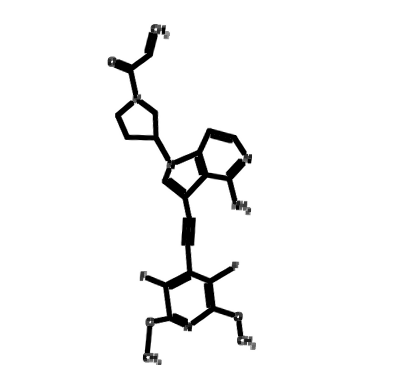 C=CC(=O)N1CCC(n2cc(C#Cc3c(F)c(OC)nc(OC)c3F)c3c(N)nccc32)C1